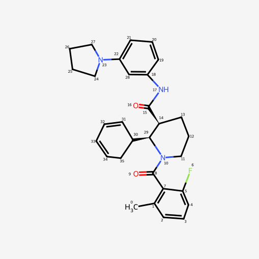 Cc1cccc(F)c1C(=O)N1CCC[C@H](C(=O)Nc2cccc(N3CCCC3)c2)[C@@H]1C1C=CC=CC1